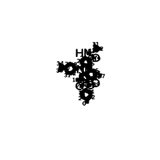 Cc1ccc(S(=O)(=O)n2c(C)cc3c(-c4cc(S(=N)(=O)C5CC5)ccc4NC4CCC5(CC4)CC5)cn(C)c(=O)c32)cc1